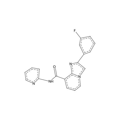 O=C(Nc1ccccn1)c1cccn2cc(-c3cccc(F)c3)nc12